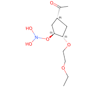 CCOCCO[C@H]1C[C@@H](C(C)=O)C[C@@H]1ON(O)O